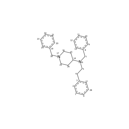 c1ccc(CCN(Cc2ccccc2)C2CCN(Cc3ccccc3)CC2)cc1